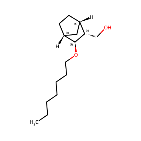 CCCCCCCO[C@H]1[C@@H]2CC[C@@H](C2)[C@@H]1CO